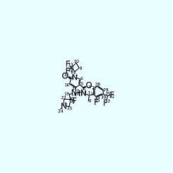 CC(NC(=O)c1cn([C@@H]2CCC2(F)F)c(=O)cc1NCC1(F)CN(C)C1)c1cccc(C(F)F)c1F